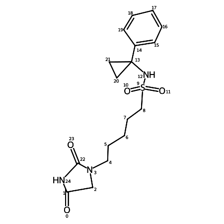 O=C1CN(CCCCCS(=O)(=O)NC2(c3ccccc3)CC2)C(=O)N1